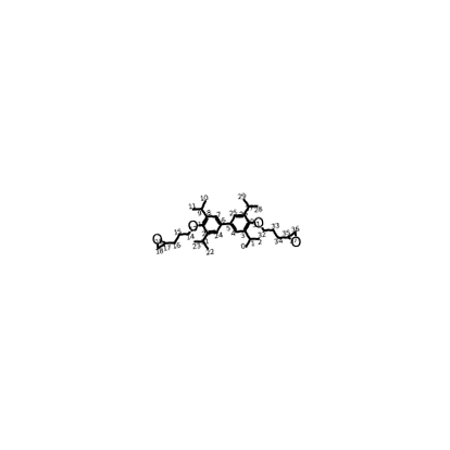 CC(C)c1cc(-c2cc(C(C)C)c(OCCCC3CO3)c(C(C)C)c2)cc(C(C)C)c1OCCCC1CO1